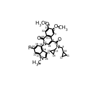 COc1cc2c(C(=O)N(CC3CC3)C3CC3)cn(-c3cc(F)cc4c3ccn4C)c(=O)c2cc1OC